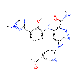 CNC(=O)c1nnc(Nc2ccc(C(C)=O)cn2)cc1Nc1cccc(-c2ncn(C)n2)c1OC